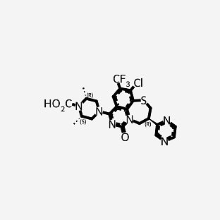 C[C@@H]1CN(c2nc(=O)n3c4c(c(Cl)c(C(F)(F)F)cc24)SC[C@@H](c2cnccn2)C3)C[C@H](C)N1C(=O)O